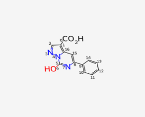 O=C(O)c1cnn2c(O)nc(-c3ccccc3)cc12